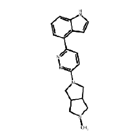 CN1CC2CN(c3ccc(-c4cccc5[nH]ccc45)nn3)CC2C1